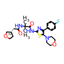 CC(C)(NC(=O)C[C@@H]1CCOC1)C(=O)Nc1nc(-c2ccc(F)cc2)c(N2CCOCC2)s1